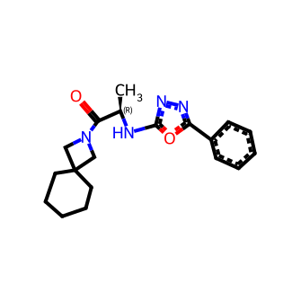 C[C@@H](Nc1nnc(-c2ccccc2)o1)C(=O)N1CC2(CCCCC2)C1